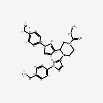 CC(C)(C)OC(=O)N1CCN(c2ccn(-c3ccc(CN)cc3)n2)C(c2ccn(-c3ccc(CN)cc3)n2)C1